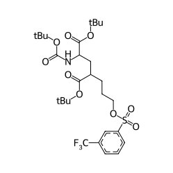 CC(C)(C)OC(=O)NC(CC(CCCOS(=O)(=O)c1cccc(C(F)(F)F)c1)C(=O)OC(C)(C)C)C(=O)OC(C)(C)C